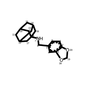 c1cc2c(cc1CNC13CC4CC(CC(C4)C1)C3)OCO2